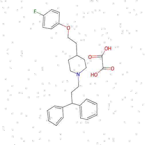 Fc1ccc(OCCC2CCN(CCC(c3ccccc3)c3ccccc3)CC2)cc1.O=C(O)C(=O)O